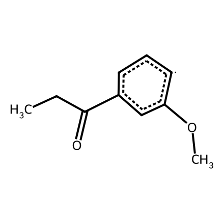 CCC(=O)c1cc[c]c(OC)c1